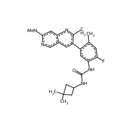 CNc1cc2nc(C)c(-c3cc(NC(=O)NC4CC(C)(C)C4)c(F)cc3C)cc2cn1